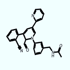 CC(=O)NCc1cccc(N2C=C(c3ccccn3)C=C(c3ccccc3C#N)C2C=O)c1